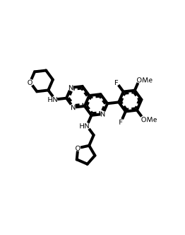 COc1cc(OC)c(F)c(-c2cc3cnc(NC4CCCOC4)nc3c(NCC3CCCO3)n2)c1F